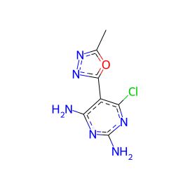 Cc1nnc(-c2c(N)nc(N)nc2Cl)o1